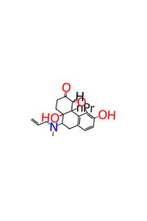 C=CCN(C)C1Cc2ccc(O)c3c2C2(CCC)[C@@H](O3)C(=O)CC[C@@]12O